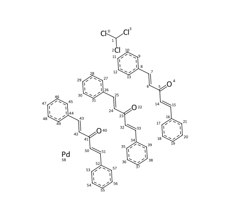 ClC(Cl)Cl.O=C(C=Cc1ccccc1)C=Cc1ccccc1.O=C(C=Cc1ccccc1)C=Cc1ccccc1.O=C(C=Cc1ccccc1)C=Cc1ccccc1.[Pd]